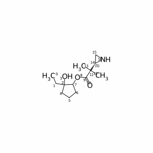 CCC1(O)CCCC1OC(=O)C(C)(C)[C@H]1CN1